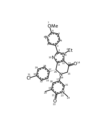 CCn1c(-c2ccc(OC)nc2)nc2c1C(=O)CN(c1cc(C)c(=O)n(C)c1)[C@@H]2c1ccc(Cl)cc1